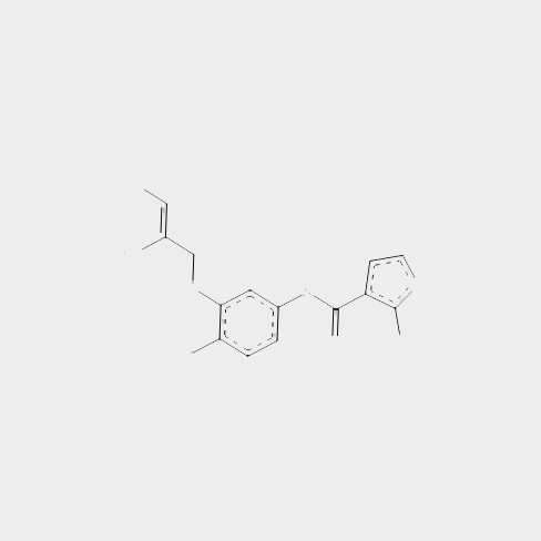 C/C=C(\C)COc1cc(NC(=S)c2ccoc2C)ccc1Cl